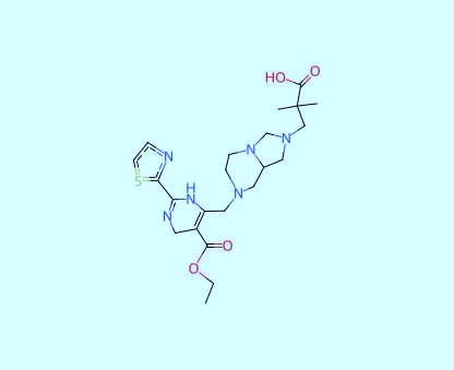 CCOC(=O)C1=C(CN2CCN3CN(CC(C)(C)C(=O)O)CC3C2)NC(c2nccs2)=NC1